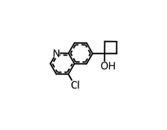 OC1(c2ccc3nccc(Cl)c3c2)CCC1